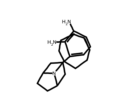 Nc1cccc(C2CC3CCC(C2)N3C2CCCCCCC2)c1N